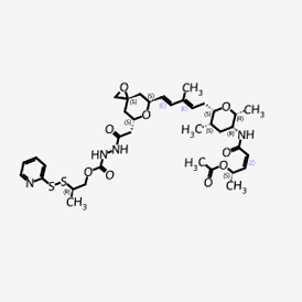 CC(=O)O[C@@H](C)/C=C\C(=O)N[C@@H]1C[C@H](C)[C@H](C/C=C(C)/C=C/[C@@H]2C[C@]3(CO3)C[C@@H](CC(=O)NNC(=O)OC[C@@H](C)SSc3ccccn3)O2)O[C@@H]1C